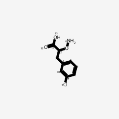 NOC(Cc1cccc(Cl)c1)C(=O)O